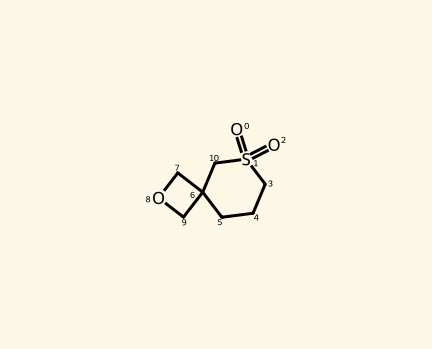 O=S1(=O)CCCC2(COC2)C1